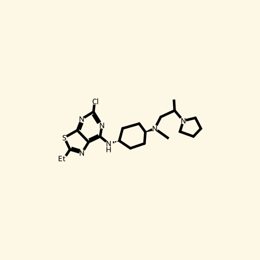 CCc1nc2c(N[C@H]3CC[C@H](N(C)CC(C)N4CCCC4)CC3)nc(Cl)nc2s1